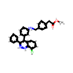 COC(=O)Cc1ccc(CNc2cccc(-c3c(-c4ccccc4)nnc4c(Cl)cccc34)c2)cc1